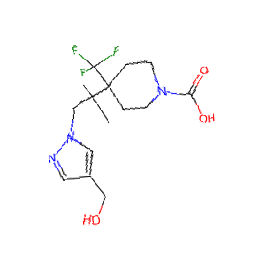 CC(C)(Cn1cc(CO)cn1)C1(C(F)(F)F)CCN(C(=O)O)CC1